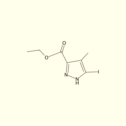 CCOC(=O)c1n[nH]c(I)c1C